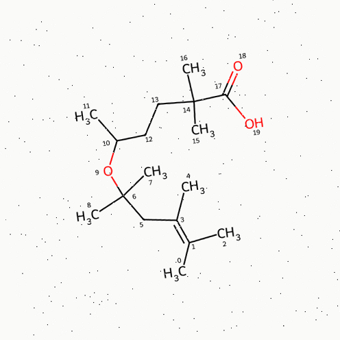 CC(C)=C(C)CC(C)(C)OC(C)CCC(C)(C)C(=O)O